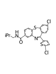 CC(C)CNC(=O)c1ccc2c(c1)N=C(c1ccc(Cl)s1)c1ccc(Cl)cc1S2